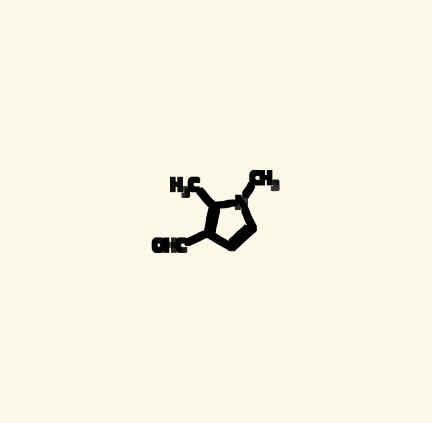 Cc1c(C=O)ccn1C